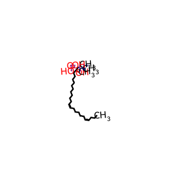 CCC/C=C\CCCCC/C=C\CCCCCCCCCCC(O)(C[N+](C)(C)C)P(=O)(O)O